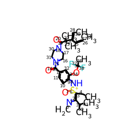 C=N/C(=C(/CC)[S+]([O-])Nc1ccc(C(=O)N2CCN(C(=O)C(C)(C)C(/C=C\C)=C/C)CC2)cc1OC(C)(F)F)C(C)C